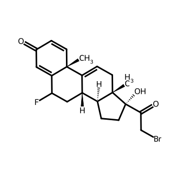 C[C@]12C=CC(=O)C=C1C(F)C[C@@H]1C2=CC[C@@]2(C)[C@H]1CC[C@]2(O)C(=O)CBr